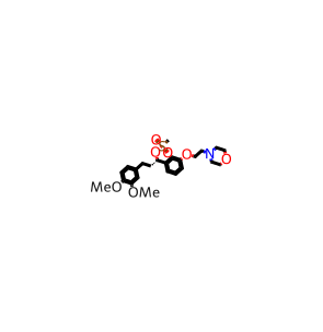 COc1ccc(CC[C@H](OS(C)(=O)=O)c2cccc(OCCN3CCOCC3)c2)cc1OC